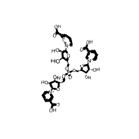 O=C(O)c1ccc[n+]([C@@H]2O[C@H](COP(=O)(OC[C@H]3O[C@@H]([n+]4cccc(C(=O)O)c4)[C@H](O)[C@@H]3O)OC[C@H]3O[C@@H]([n+]4cccc(C(=O)O)c4)[C@H](O)[C@@H]3O)[C@@H](O)[C@H]2O)c1